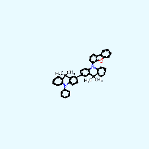 CC1(C)c2ccccc2N(c2ccccc2)c2ccc(-c3ccc4c(c3)C(C)(C)c3ccccc3N4c3cccc4c3oc3ccccc34)cc21